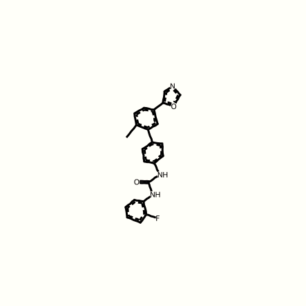 Cc1ccc(-c2cnco2)cc1-c1ccc(NC(=O)Nc2ccccc2F)cc1